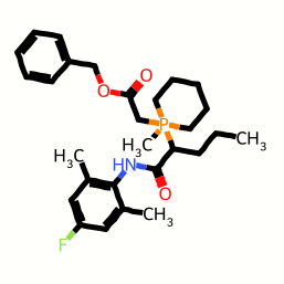 CCCC(C(=O)Nc1c(C)cc(F)cc1C)P1(C)(CC(=O)OCc2ccccc2)CCCCC1